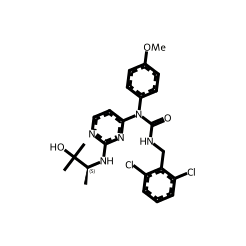 COc1ccc(N(C(=O)NCc2c(Cl)cccc2Cl)c2ccnc(N[C@@H](C)C(C)(C)O)n2)cc1